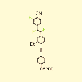 CCCCCc1ccc(C#Cc2ccc(/C(F)=C(\F)c3ccc(C#N)c(F)c3)cc2CC)cc1